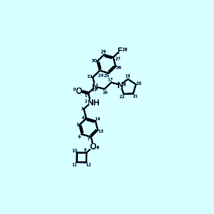 O=C(NCc1ccc(OC2CCC2)cc1)N(CCN1CCCC1)Cc1ccc(F)cc1